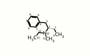 CC[C@@H](Cc1ccccc1)N(C)CC